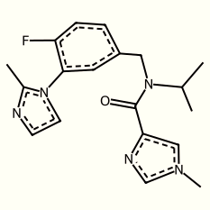 Cc1nccn1-c1cc(CN(C(=O)c2cn(C)cn2)C(C)C)ccc1F